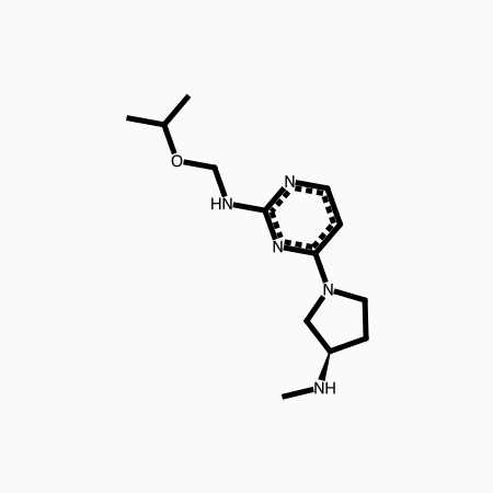 CN[C@@H]1CCN(c2ccnc(NCOC(C)C)n2)C1